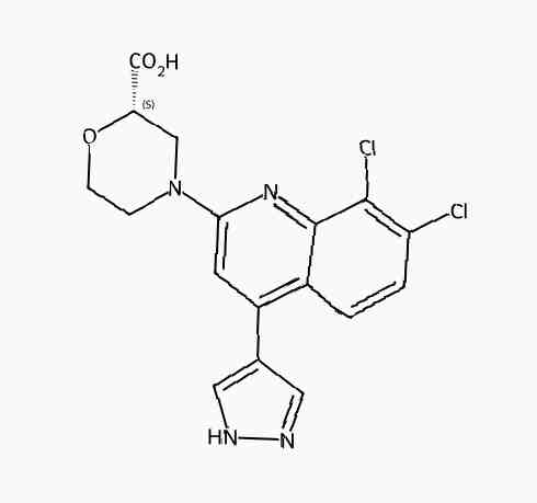 O=C(O)[C@@H]1CN(c2cc(-c3cn[nH]c3)c3ccc(Cl)c(Cl)c3n2)CCO1